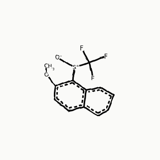 COc1ccc2ccccc2c1[S+]([O-])C(F)(F)F